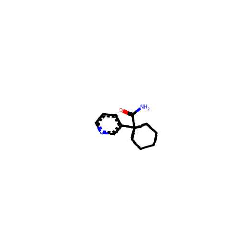 NC(=O)C1(c2cccnc2)CCCCC1